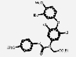 CCOC(=O)CN(C(=O)Oc1ccc(OC)cc1)c1cc(Cl)c(Oc2ccc(OC)c(C(C)CC)c2)c(Cl)c1